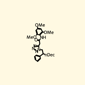 CCCCCCCCCCC(Cn1nnnc1CC(=O)Nc1c(OC)cc(OC)cc1OC)c1ccccc1